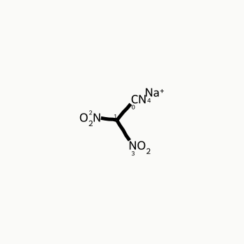 N#CC([N+](=O)[O-])[N+](=O)[O-].[Na+]